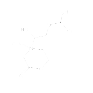 CC(C)OCC(O)[N+]1(C)CCOC(=O)C1